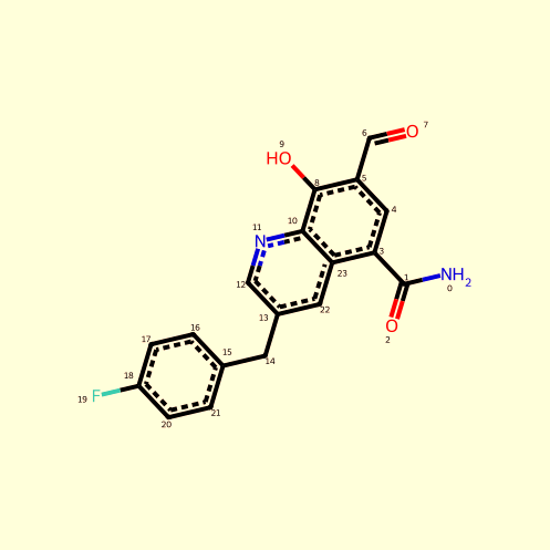 NC(=O)c1cc(C=O)c(O)c2ncc(Cc3ccc(F)cc3)cc12